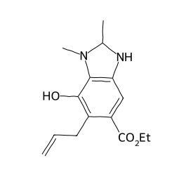 C=CCc1c(C(=O)OCC)cc2c(c1O)N(C)C(C)N2